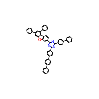 c1ccc(-c2ccc(-c3ccc(-c4nc(-c5ccc(-c6ccccc6)cc5)nc(-c5ccc6c(c5)oc5cc(-c7ccccc7)cc(-c7ccccc7)c56)n4)cc3)cc2)cc1